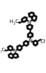 C=Cc1cccc(N(c2ccc(-c3ccc(N(c4cccc(C=C)c4)c4cccc5ccccc45)cc3)cc2)c2ccc(-c3ccc(N(c4cccc(C=C)c4)c4cccc5ccccc45)cc3)cc2)c1